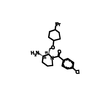 CC(C)C1CCC(OC[C@H]2[C@@H](N)CCCN2C(=O)c2ccc(Cl)cc2)CC1